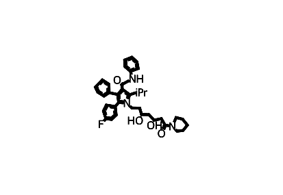 CC(C)c1c(C(=O)Nc2ccccc2)c(-c2ccccc2)c(-c2ccc(F)cc2)n1CC[C@@H](O)C[C@@H](O)CC(=O)N1CCCCC1